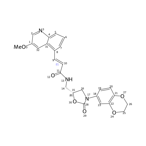 COc1cnc2cccc(/C=C/C(=O)NC[C@@H]3CN(c4ccc5c(c4)OCCO5)C(=O)O3)c2c1